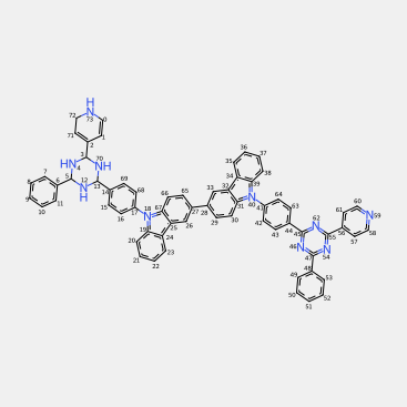 C1=CC(C2NC(c3ccccc3)NC(c3ccc(-n4c5ccccc5c5cc(-c6ccc7c(c6)c6ccccc6n7-c6ccc(-c7nc(-c8ccccc8)nc(-c8ccncc8)n7)cc6)ccc54)cc3)N2)=CCN1